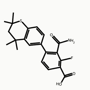 CC1(C)CC(C)(C)c2cc(-c3ccc(C(=O)O)c(F)c3C(N)=O)ccc2S1